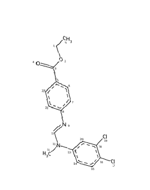 CCOC(=O)c1ccc(N=CN(C)c2ccc(Cl)c(Cl)c2)cc1